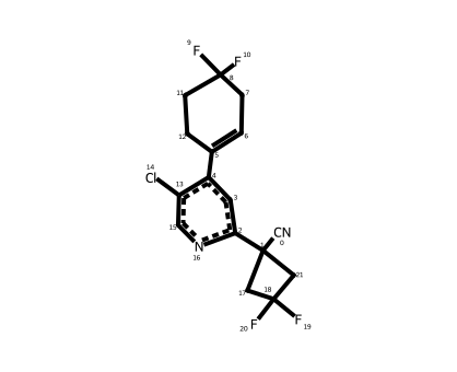 N#CC1(c2cc(C3=CCC(F)(F)CC3)c(Cl)cn2)CC(F)(F)C1